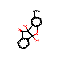 CCCCCCCCCc1ccc2c(c1)C1(O)C(=O)c3ccccc3C1(O)O2